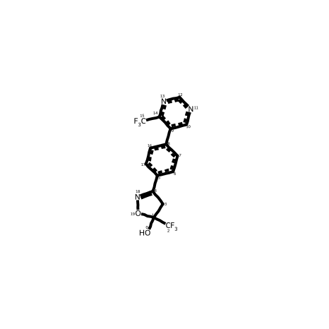 OC1(C(F)(F)F)CC(c2ccc(-c3cncnc3C(F)(F)F)cc2)=NO1